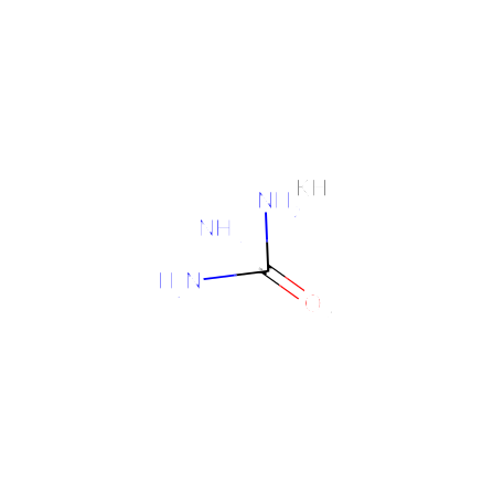 N.NC(N)=O.[KH]